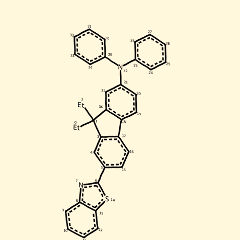 CCC1(CC)c2cc(-c3nc4ccccc4s3)ccc2-c2ccc(N(c3ccccc3)c3ccccc3)cc21